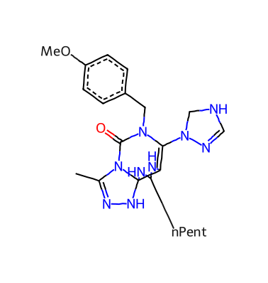 CCCCCC1NC2=C(N3CNC=N3)N(Cc3ccc(OC)cc3)C(=O)N3C(C)=NNC23N1